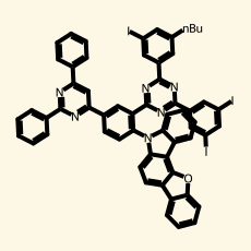 CCCCc1cc(I)cc(-c2nc(-c3cc(I)cc(I)c3)nc(-c3cc(-c4cc(-c5ccccc5)nc(-c5ccccc5)n4)ccc3-n3c4ccccc4c4c5oc6ccccc6c5ccc43)n2)c1